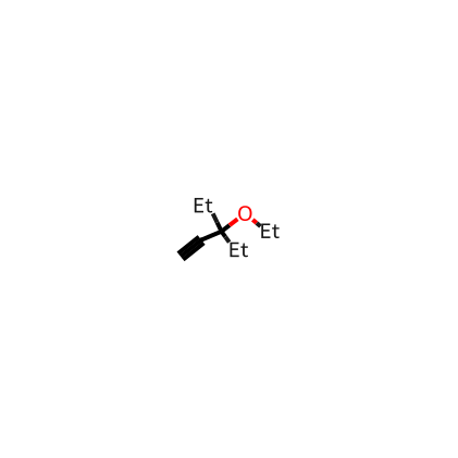 C#CC(CC)(CC)OCC